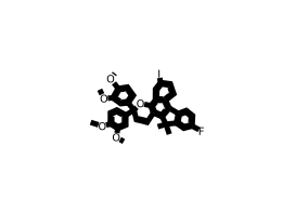 COc1ccc(C2(c3ccc(OC)c(OC)c3)C=Cc3c4c(c5ccc(I)cc5c3O2)-c2ccc(F)cc2C4(C)C)cc1OC